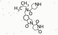 CC(C)CN(Cc1ccc2c(c1)CN(C1CCC(=O)NC1=O)C2=O)C(=O)C1CCNCC1